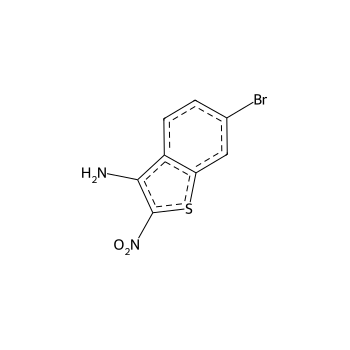 Nc1c([N+](=O)[O-])sc2cc(Br)ccc12